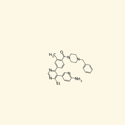 CCc1ncnc(-c2ccc(C(=O)N3CCN(Cc4ccccc4)CC3)c(C)c2)c1-c1ccc(N)nc1